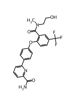 CN(CCO)C(=O)c1cc(C(F)(F)F)ccc1Oc1ccc(-c2cccc(C(N)=O)n2)cc1